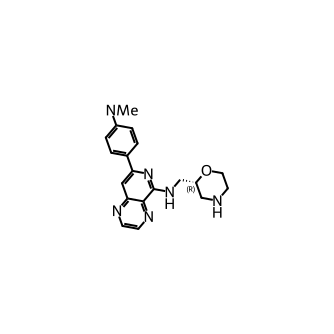 CNc1ccc(-c2cc3nccnc3c(NC[C@H]3CNCCO3)n2)cc1